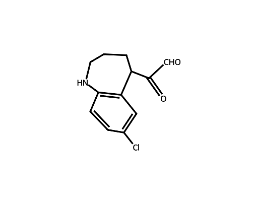 O=CC(=O)C1CCCNc2ccc(Cl)cc21